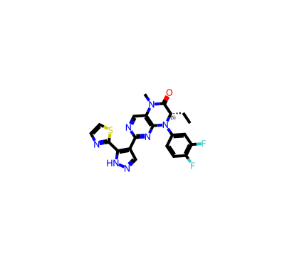 CC[C@H]1C(=O)N(C)c2cnc(-c3cn[nH]c3-c3nccs3)nc2N1c1ccc(F)c(F)c1